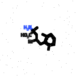 CCC(Cc1c(C)cccc1C)CC(C)(N)C(=O)O